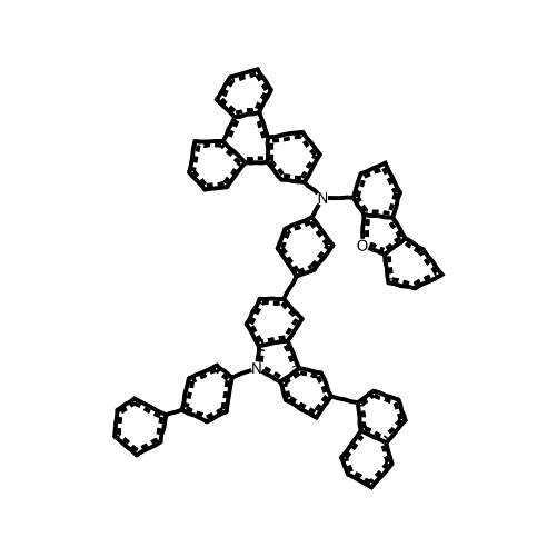 c1ccc(-c2ccc(-n3c4ccc(-c5ccc(N(c6ccc7c8ccccc8c8ccccc8c7c6)c6cccc7c6oc6ccccc67)cc5)cc4c4cc(-c5cccc6ccccc56)ccc43)cc2)cc1